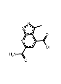 Cc1nsc2nc(C(N)=O)cc(C(=O)O)c12